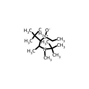 CC[S+]([O-])C(C(C)N(C)C(C)(C)C)C(C)(C)C